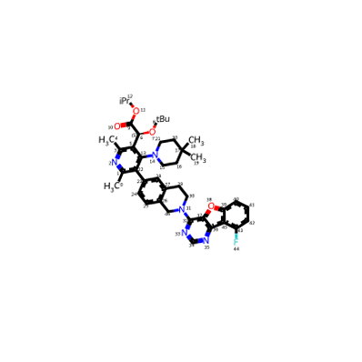 Cc1nc(C)c([C@H](OC(C)(C)C)C(=O)OC(C)C)c(N2CCC(C)(C)CC2)c1-c1ccc2c(c1)CCN(c1ncnc3c1oc1cccc(F)c13)C2